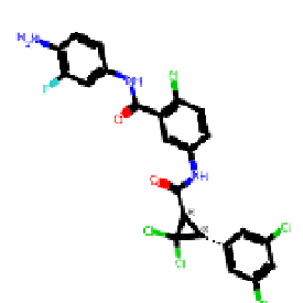 Nc1ccc(NC(=O)c2cc(NC(=O)[C@H]3[C@H](c4cc(Cl)cc(Cl)c4)C3(Cl)Cl)ccc2Cl)cc1F